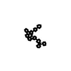 c1ccc(-c2ccc(-c3cc(-n4c5ccccc5c5cc(-c6ccc7c(c6)c6ccccc6n7-c6ccccc6)ccc54)c4c5ccccc5c5ccccc5c4c3)cc2)cc1